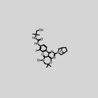 CCN1CC(C)(C)Oc2nc(N3CC4CCC(C3)O4)nc(-c3ccc(NC(=O)NC(C)(C)CO)c(F)c3)c2C1=O